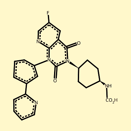 O=C(O)N[C@H]1CC[C@@H](n2c(=O)c3cc(F)cnc3n(-c3cccc(-c4ccccn4)c3)c2=O)CC1